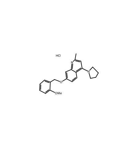 COc1ccccc1COc1ccc2c(N3CCCC3)cc(C)nc2c1.Cl